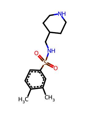 Cc1ccc(S(=O)(=O)NCC2CCNCC2)cc1C